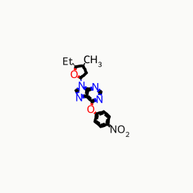 CC[C@H]1O[C@@H](n2cnc3c(Oc4ccc([N+](=O)[O-])cc4)ncnc32)C[C@H]1C